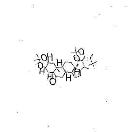 CC([C@H]1OC(C)(C)O[C@@H]1[C@@H](C)[C@H]1CC[C@H]2[C@@H]3CC(=O)[C@H]4C[C@@H]5OC(C)(C)O[C@@H]5C[C@]4(C)[C@H]3CC[C@]12C)C(C)(C)C